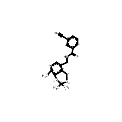 Cc1ncc(CNC(=O)c2cccc(C#N)c2)c2c1OC(C)(C)OC2